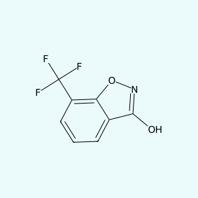 Oc1noc2c(C(F)(F)F)cccc12